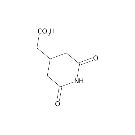 O=C(O)CC1CC(=O)NC(=O)C1